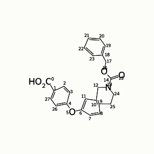 O=C(O)c1ccc(Oc2ccc3c(c2)CN(C(=O)OCc2ccccc2)CC3)cc1